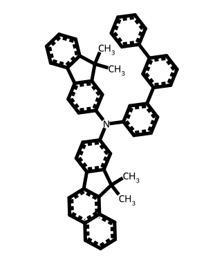 CC1(C)c2ccccc2-c2ccc(N(c3cccc(-c4cccc(-c5ccccc5)c4)c3)c3ccc4c(c3)C(C)(C)c3c-4ccc4ccccc34)cc21